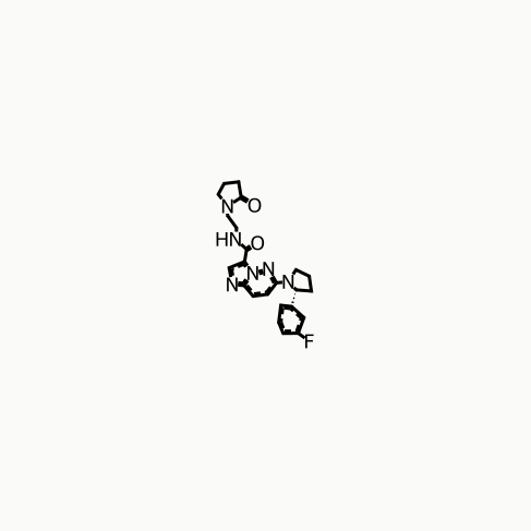 O=C(NCCN1CCCC1=O)c1cnc2ccc(N3CCC[C@@H]3c3cccc(F)c3)nn12